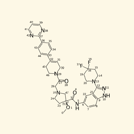 CO[C@@]1(C(=O)Nc2ccc3[nH]nc(N4CCC(F)(F)CC4)c3c2)CCN(CC(=O)N2CC=C(c3ccc(-c4ncccn4)cc3)CC2)C1